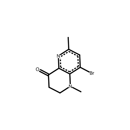 Cc1cc(Br)c2c(n1)C(=O)CCN2C